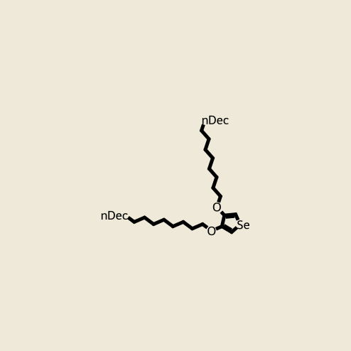 CCCCCCCCCCCCCCCCCCOc1c[se]cc1OCCCCCCCCCCCCCCCCCC